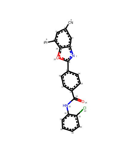 CC(C)c1cc(C#N)cc2nc(-c3ccc(C(=O)Nc4ccccc4Cl)cc3)oc12